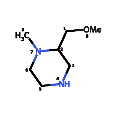 COCC1CNCCN1C